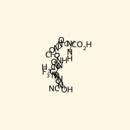 Cn1c(-c2cn(-c3ccc4c(cc(CO)n4CC#N)n3)nc2C(F)(F)F)cnc1C(=O)Nc1ccc(C(=O)N2CCN(C(=O)C3CC[N+](CC(=O)O)(CC4CNC4)CC3)CC2)c(Cl)c1